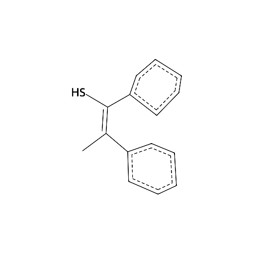 C/C(=C(\S)c1ccccc1)c1ccccc1